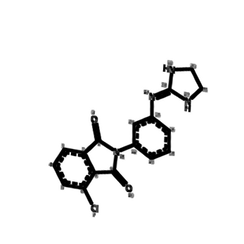 O=C1c2cccc(Cl)c2C(=O)N1c1cccc(N=C2NCCN2)c1